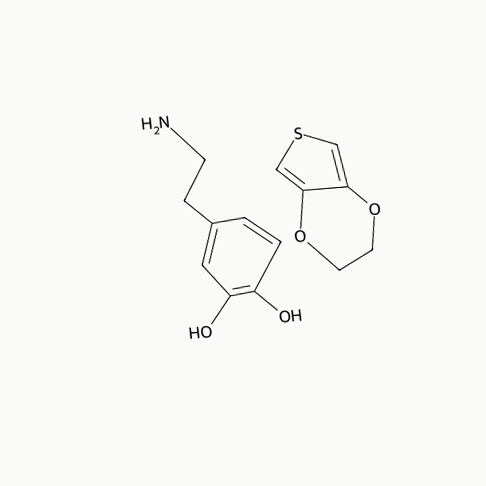 NCCc1ccc(O)c(O)c1.c1scc2c1OCCO2